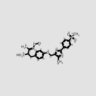 CCON=C(C)C(Cc1ccc(OCc2nc(-c3ccc(S(C)(=O)=O)cc3)oc2C)cc1)C(=O)O